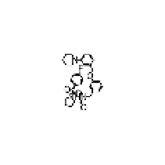 O=C(NCc1cccc(OCc2cccc(N3CCCCC3)c2)c1)[C@@H]1CCCN1S(=O)(=O)c1ccc(F)cc1